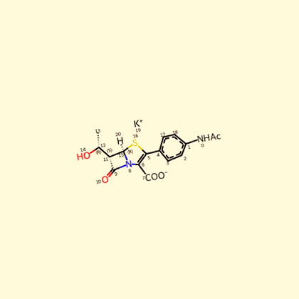 CC(=O)Nc1ccc(C2=C(C(=O)[O-])N3C(=O)[C@H]([C@@H](C)O)[C@H]3S2)cc1.[K+]